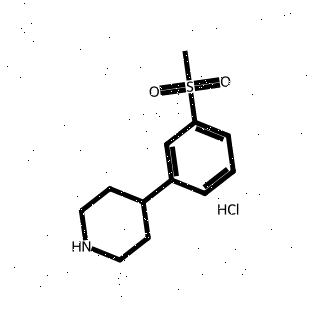 CS(=O)(=O)c1cccc(C2CCNCC2)c1.Cl